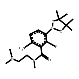 CN(C)CCN(C)C(=O)c1c(N)ccc(B2OC(C)(C)C(C)(C)O2)c1F